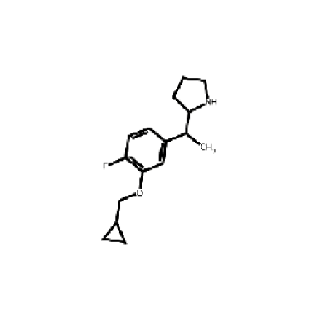 CC(c1ccc(F)c(OCC2CC2)c1)C1CCCN1